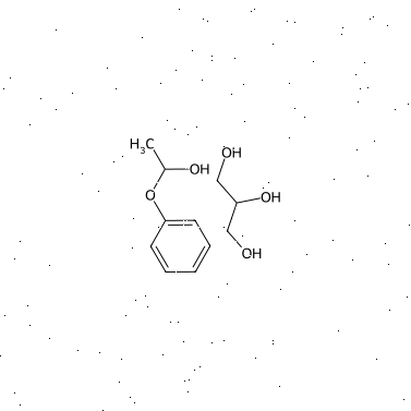 CC(O)Oc1ccccc1.OCC(O)CO